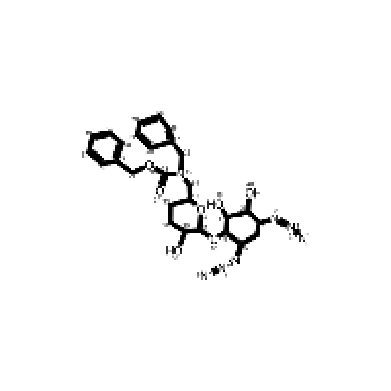 [N-]=[N+]=NC1CC(N=[N+]=[N-])C(OC2OC(CN(Cc3ccccc3)C(=O)OCc3ccccc3)CCC2O)C(O)C1O